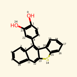 Oc1ccc(-c2c3ccccc3cc3sc4ccccc4c23)cc1O